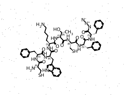 C[C@@H](O)[C@H](NC(=O)[C@H](CCCCN)NC(=O)[C@@H](Cc1c[nH]c2ccccc12)NC(=O)[C@H](Cc1ccccc1)NC(=O)[C@@H](N)CS)C(=O)N[C@@H](CS)C(=O)N[C@@H](Cc1ccccc1)C(=O)N[C@@H](Cc1ccccc1)C(=O)N=[N+]=[N-]